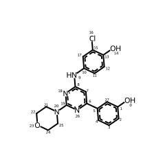 Oc1cccc(-c2cc(Nc3ccc(O)c(Cl)c3)nc(N3CCOCC3)n2)c1